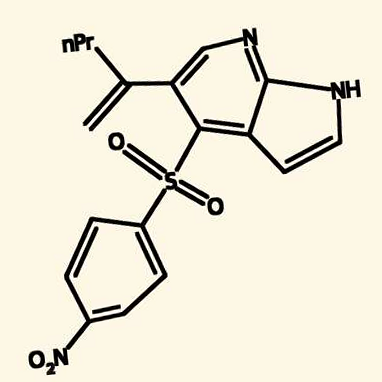 C=C(CCC)c1cnc2[nH]ccc2c1S(=O)(=O)c1ccc([N+](=O)[O-])cc1